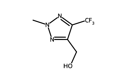 Cn1nc(CO)c(C(F)(F)F)n1